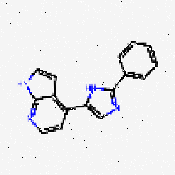 c1ccc(-c2ncc(-c3ccnc4[nH]ccc34)[nH]2)cc1